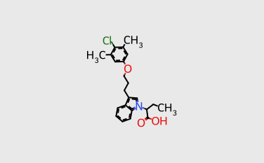 CCC(C(=O)O)n1cc(CCCOc2cc(C)c(Cl)c(C)c2)c2ccccc21